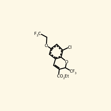 CCOC(=O)C1=Cc2cc(OCC(F)(F)F)cc(Cl)c2OC1C(F)(F)F